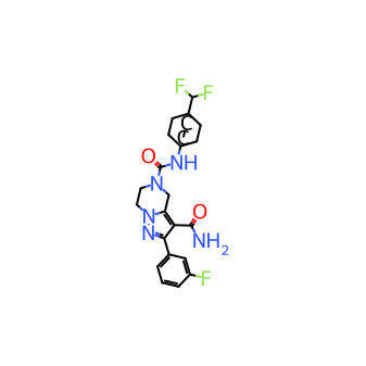 NC(=O)c1c(-c2cccc(F)c2)nn2c1CN(C(=O)NC13CCC(C(F)F)(CC1)CC3)CC2